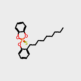 CCCCCCCCCc1ccccc1OP1(=S)Oc2ccccc2O1